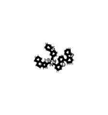 c1ccc2c(c1)ccc1ccc(C3=NC(c4cccc5oc6c(-c7cccc8oc9ccccc9c78)cccc6c45)=NC(c4ccc5sc6ccccc6c5c4)N3)cc12